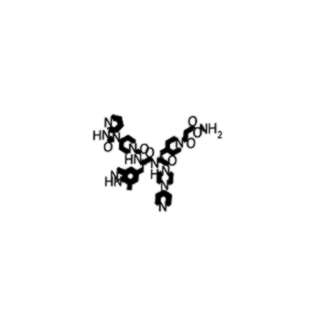 Cc1cc(C[C@@H](NC(=O)N2CCC(n3c(=O)[nH]c4ncccc43)CC2)C(=O)N[C@@H](CC2CCN(C(=O)CC(=O)ON)CC2)C(=O)N2CCN(c3ccncc3)CC2)cc2cn[nH]c12